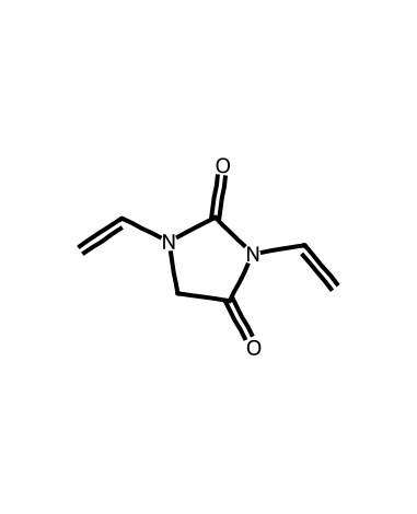 C=CN1CC(=O)N(C=C)C1=O